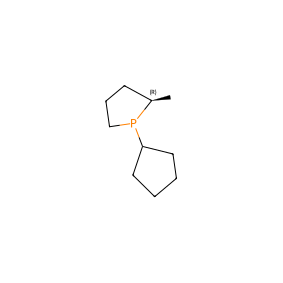 C[C@@H]1CCCP1C1CCCC1